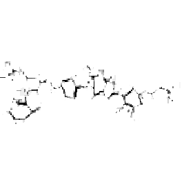 C[C@H](N)CCCc1cc(Cl)c(F)c(-c2cc3cn(-c4ccc(CN[C@H](CCNC(=N)N)CNc5ncccc5F)cc4)c(=O)nc3[nH]2)c1